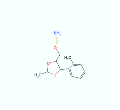 Cc1ccccc1C1OC(C)OC1COSN